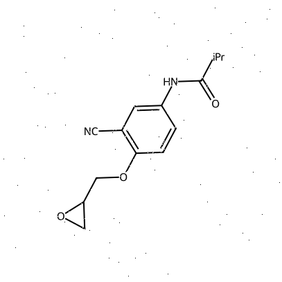 CC(C)C(=O)Nc1ccc(OCC2CO2)c(C#N)c1